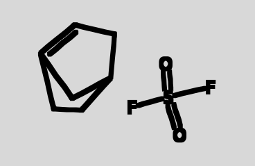 C1=C2CCC(C1)C2.O=S(=O)(F)F